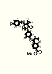 COC(=O)c1ccc2c(Oc3ccc(NC(=O)C4(C(=O)Nc5ccc(F)cc5)CC4)cc3F)ccnc2c1